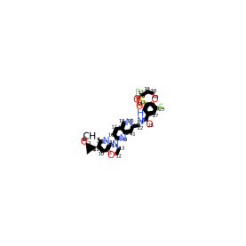 CO[C@@H]1C[C@H]1c1cnc2c(c1)OCCN2c1ccc2cnc(CNC(=O)c3cc(F)c4c(c3)S(=O)(=O)[C@@H](F)CCO4)cc2n1